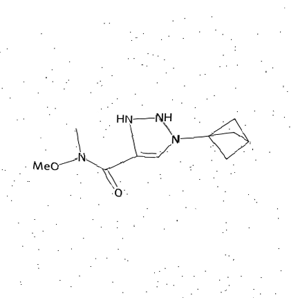 CON(C)C(=O)C1=CN(C23CC(C2)C3)NN1